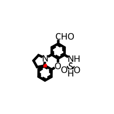 O=Cc1cc(N[SH](=O)=O)c(Oc2ccccc2)c(N2CCCC2)c1